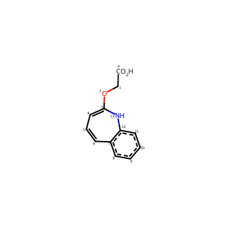 O=C(O)COC1=CC=Cc2ccccc2N1